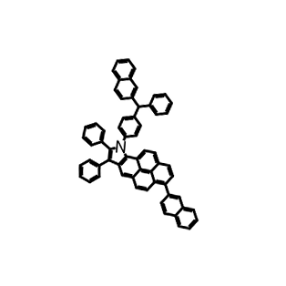 c1ccc(-c2c(-c3ccccc3)n(-c3ccc(C(c4ccccc4)c4ccc5ccccc5c4)cc3)c3c2cc2ccc4c(-c5ccc6ccccc6c5)ccc5ccc3c2c54)cc1